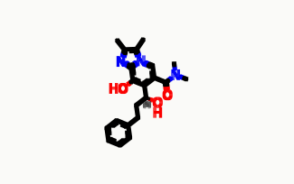 Cc1nc2c(O)c([C@@H](O)CCc3ccccc3)c(C(=O)N(C)C)cn2c1C